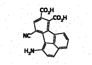 N#Cc1cc(C(=O)O)c(C(=O)O)c2c1-c1c(N)ccc3cccc-2c13